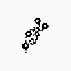 Cc1ccc(Cl)cc1N1CCN(Cc2cn([C@@H](Cc3ccccc3)[C@H](Cc3ccccc3)NC(=O)Nc3ccc(F)cc3)nn2)CC1